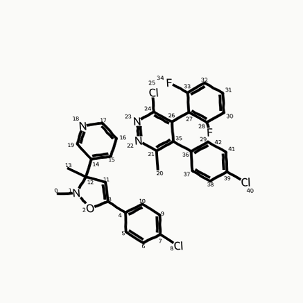 CN1OC(c2ccc(Cl)cc2)=CC1(C)c1cccnc1.Cc1nnc(Cl)c(-c2c(F)cccc2F)c1-c1ccc(Cl)cc1